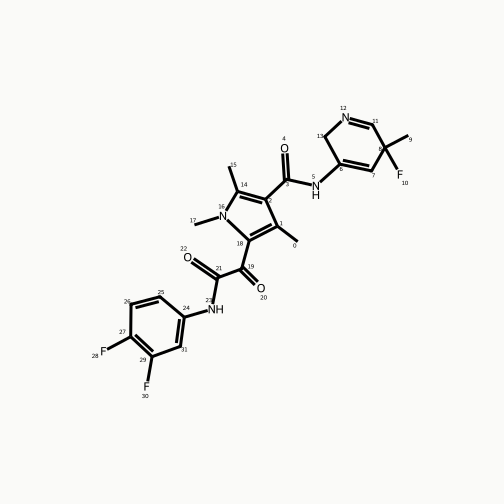 Cc1c(C(=O)NC2=CC(C)(F)C=NC2)c(C)n(C)c1C(=O)C(=O)Nc1ccc(F)c(F)c1